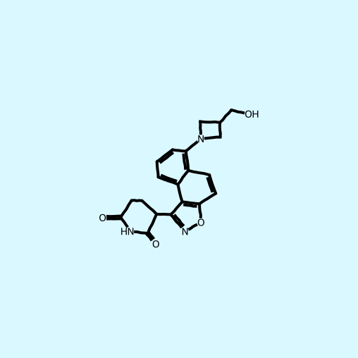 O=C1CCC(c2noc3ccc4c(N5CC(CO)C5)cccc4c23)C(=O)N1